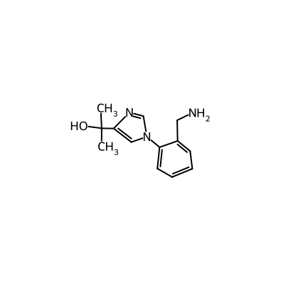 CC(C)(O)c1cn(-c2ccccc2CN)cn1